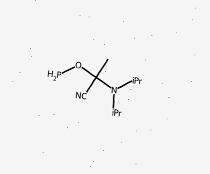 CC(C)N(C(C)C)C(C)(C#N)OP